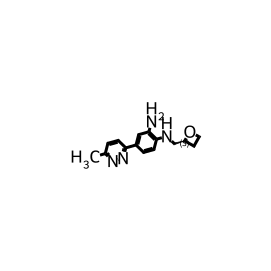 Cc1ccc(-c2ccc(NC[C@@H]3CCO3)c(N)c2)nn1